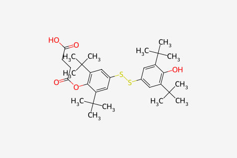 CC(C)(C)c1cc(SSc2cc(C(C)(C)C)c(OC(=O)CCC(=O)O)c(C(C)(C)C)c2)cc(C(C)(C)C)c1O